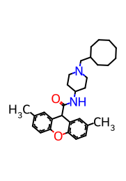 Cc1ccc2c(c1)C(C(=O)NC1CCN(CC3CCCCCCC3)CC1)c1cc(C)ccc1O2